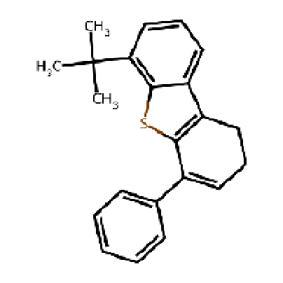 CC(C)(C)c1cccc2c3c(sc12)C(c1ccccc1)=CCC3